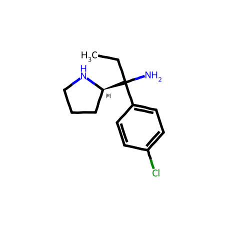 CCC(N)(c1ccc(Cl)cc1)[C@H]1CCCN1